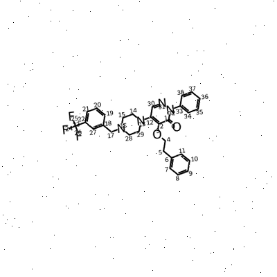 O=c1c(OCCc2ccccc2)c(N2CCN(Cc3cccc(C(F)(F)F)c3)CC2)cnn1-c1ccccc1